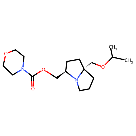 CC(C)OC[C@]12CCCN1[C@@H](COC(=O)N1CCOCC1)CC2